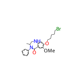 COc1cc2c(cc1OCCCCCBr)NCC(C)N(c1ccccc1)C2=O